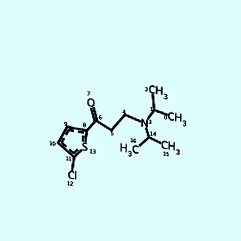 CC(C)N(CCC(=O)c1ccc(Cl)s1)C(C)C